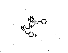 Fc1ccc(Cn2cnnc2CN(CCCCc2ccccc2)Cc2nnc[nH]2)cc1